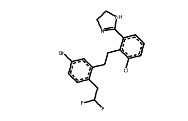 FC(F)Cc1ccc(Br)cc1CCc1c(Cl)cccc1C1=NCCN1